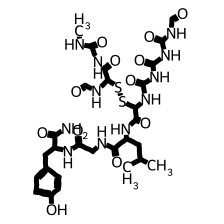 CNC(=O)NC(=O)C(NC=O)SSC(NC(=O)NC(=O)NC(=O)NC=O)C(=O)NC(CC(C)C)C(=O)NCC(=O)NC(Cc1ccc(O)cc1)C(N)=O